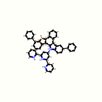 c1ccc(-c2ccc3c(c2)c2c4ccccc4c4sc5c(-c6ccccc6)cccc5c4c2n3-c2cc(-c3ccccn3)nc(-c3ccccn3)c2)cc1